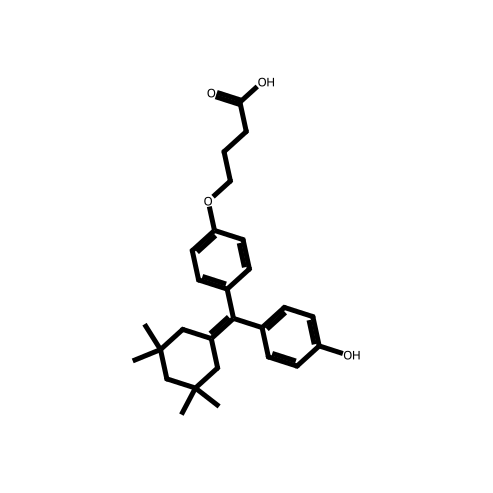 CC1(C)CC(=C(c2ccc(O)cc2)c2ccc(OCCCC(=O)O)cc2)CC(C)(C)C1